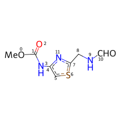 COC(=O)Nc1csc(CNC=O)n1